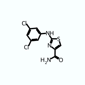 NC(=O)c1csc(Nc2cc(Cl)cc(Cl)c2)n1